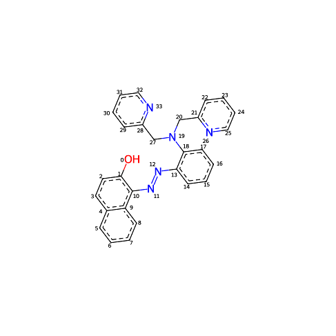 Oc1ccc2ccccc2c1/N=N/c1ccccc1N(Cc1ccccn1)Cc1ccccn1